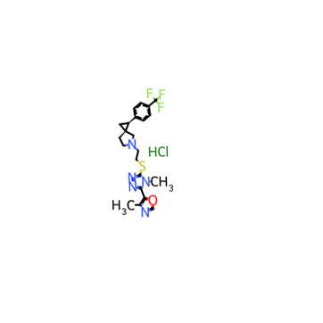 Cc1ncoc1-c1nnc(SCCN2CC[C@]3(C[C@H]3c3ccc(C(F)(F)F)cc3)C2)n1C.Cl